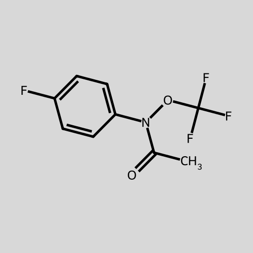 CC(=O)N(OC(F)(F)F)c1ccc(F)cc1